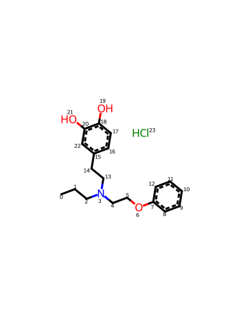 CCCN(CCOc1ccccc1)CCc1ccc(O)c(O)c1.Cl